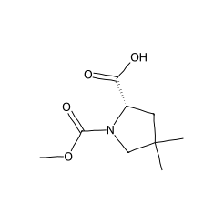 COC(=O)N1CC(C)(C)C[C@H]1C(=O)O